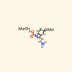 COCCOC(=O)n1cc(CCN(C)C)c2cc(OC)ccc21